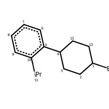 CCC1CCC(c2ccccc2C(C)C)CC1